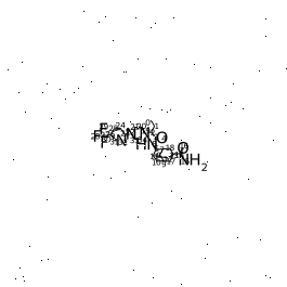 CCC(C(=O)NC1C2CC3CC1CC(C(N)=O)(C3)C2)N1CCN(c2ccc(C(F)(F)F)cn2)CC1